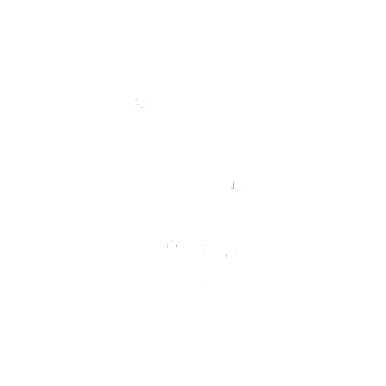 O=S(=O)([O-])CCCCCBr.[Na+]